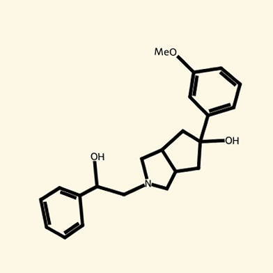 COc1cccc(C2(O)CC3CN(CC(O)c4ccccc4)CC3C2)c1